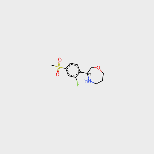 CS(=O)(=O)c1ccc([C@H]2COCCCN2)c(F)c1